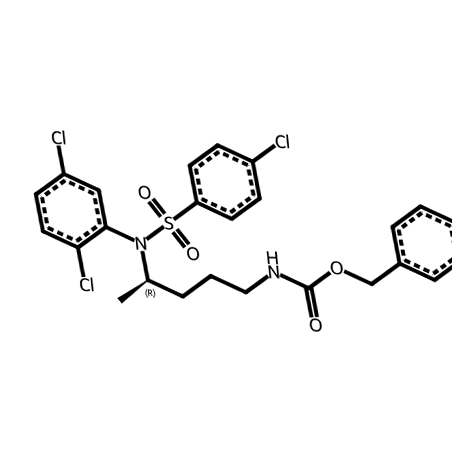 C[C@H](CCCNC(=O)OCc1ccccc1)N(c1cc(Cl)ccc1Cl)S(=O)(=O)c1ccc(Cl)cc1